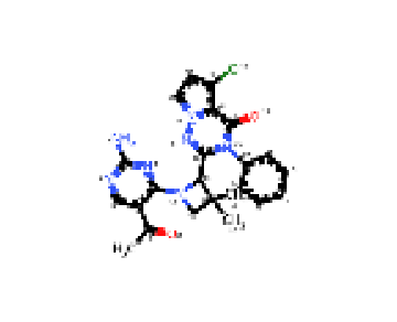 CC(=O)c1cnc(N)nc1N1CC(C)(C)C1c1nn2ccc(Cl)c2c(=O)n1-c1ccccc1